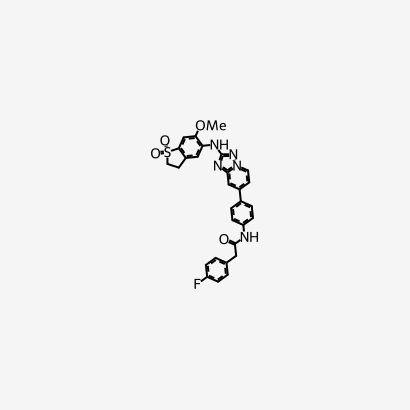 COc1cc2c(cc1Nc1nc3cc(-c4ccc(NC(=O)Cc5ccc(F)cc5)cc4)ccn3n1)CCS2(=O)=O